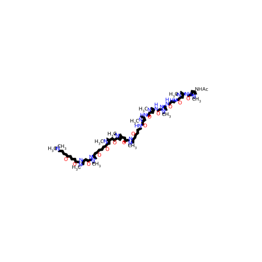 CC(=O)Nc1cc(C(=O)Nc2cc(C(=O)NCCC(=O)Nc3cn(C)c(C(=O)Nc4cc(C(=O)Nc5cc(C(=O)NCCCC(=O)Cc6cn(C)c(C(=O)Cc7cc(C(=O)Cc8cc(C(=O)CCCC(=O)Cc9cn(C)c(C(=O)Cc%10cn(C)c(C(=O)CCCC(=O)CCCCN(C)C)n%10)n9)n(C)c8)n(C)c7)n6)n(C)c5)n(C)c4)n3)n(C)c2)n(C)c1